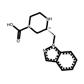 O=C(O)N1CCN[C@H](Cn2ncc3ccccc32)C1